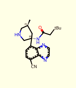 C[C@@H]1CNC[C@](NC(=O)CC(C)(C)C)(c2ccc(C#N)c3nccnc23)C1